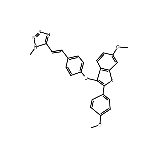 COc1ccc(-c2sc3cc(OC)ccc3c2Oc2ccc(/C=C/c3nnnn3C)cc2)cc1